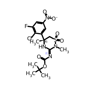 CN1/C(=N/C(=O)OC(C)(C)C)N[C@](C)(c2cc([N+](=O)[O-])cc(F)c2Cl)CS1(=O)=O